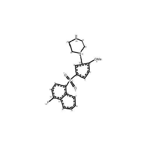 COc1ccc(S(=O)(=O)c2ccc(F)c3ccccc23)cc1N1CCNCC1